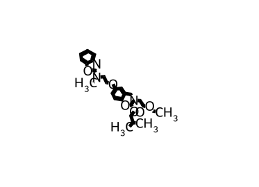 CCOC(=O)CN(Cc1cccc(OCCN(C)c2nc3ccccc3o2)c1)C(=O)OCC(C)C